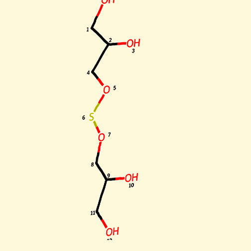 OCC(O)COSOCC(O)CO